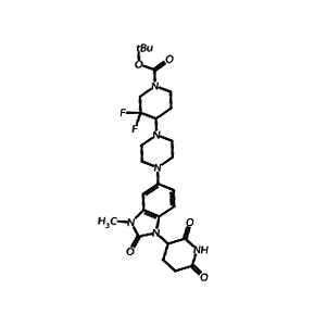 Cn1c(=O)n(C2CCC(=O)NC2=O)c2ccc(N3CCN(C4CCN(C(=O)OC(C)(C)C)CC4(F)F)CC3)cc21